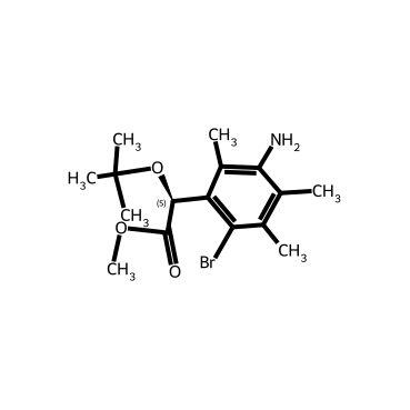 COC(=O)[C@@H](OC(C)(C)C)c1c(C)c(N)c(C)c(C)c1Br